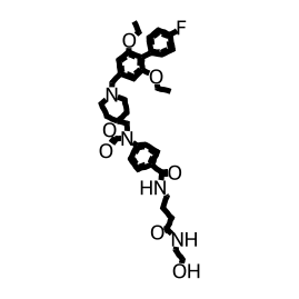 CCOc1cc(CN2CCC3(CC2)CN(c2ccc(C(=O)NCCCC(=O)NCCO)cc2)C(=O)O3)cc(OCC)c1-c1ccc(F)cc1